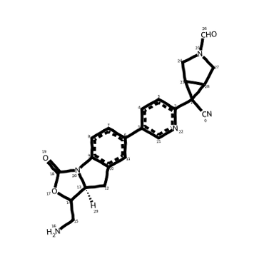 N#CC1(c2ccc(-c3ccc4c(c3)C[C@H]3C(CN)OC(=O)N43)cn2)C2CN(C=O)CC21